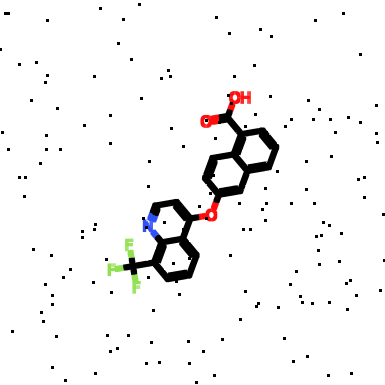 O=C(O)c1cccc2cc(Oc3ccnc4c(C(F)(F)F)cccc34)ccc12